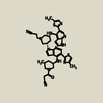 Cc1csc(-c2cnc3c(ccn3[C@H]3C[C@@H](Nc4c(-c5ncc(C)s5)cnc5[nH]ccc45)CN(CCC#N)C3)c2N[C@@H]2C[C@H](C)CN(C(=O)CC#N)C2)n1